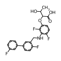 CC(O)C(Oc1ccc(F)c(NCc2cc(-c3cccc(F)c3)ccc2F)c1F)C(=O)O